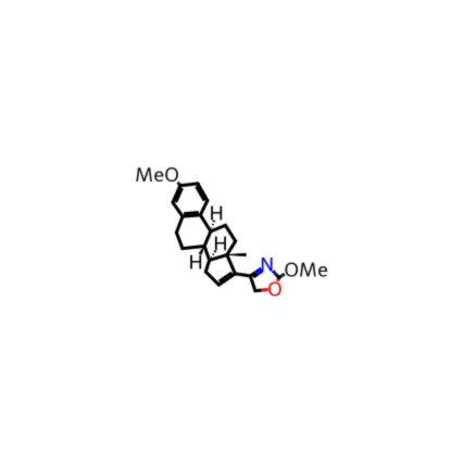 COc1ccc2c(c1)CC[C@@H]1[C@@H]2CC[C@]2(C)C(C3=NC(OC)OC3)=CC[C@@H]12